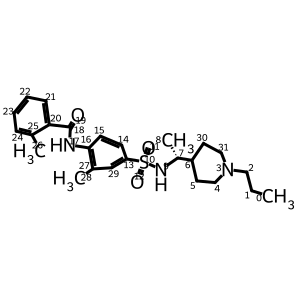 CCCN1CCC([C@@H](C)NS(=O)(=O)c2ccc(NC(=O)c3ccccc3C)c(C)c2)CC1